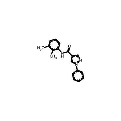 Cc1cccc(NC(=O)c2cnn(-c3ccccc3)c2)c1C